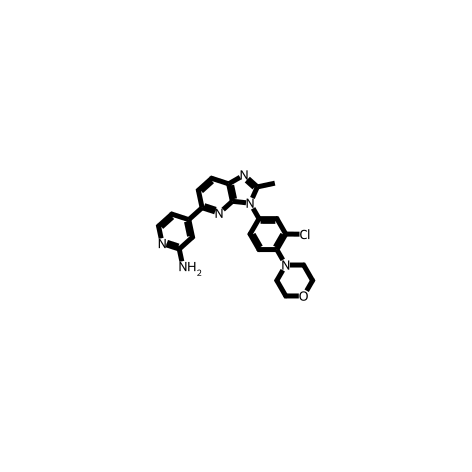 Cc1nc2ccc(-c3ccnc(N)c3)nc2n1-c1ccc(N2CCOCC2)c(Cl)c1